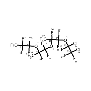 FC(F)(F)C(F)(F)C(F)(F)OC(F)(C(F)(F)F)C(F)(F)OC(F)(C(F)(F)F)C(F)(F)OC(F)(Cl)C(F)(F)Cl